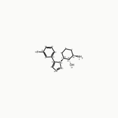 N[C@@H]1CCC[C@H](n2nncc2-c2cccc(F)c2)[C@H]1O